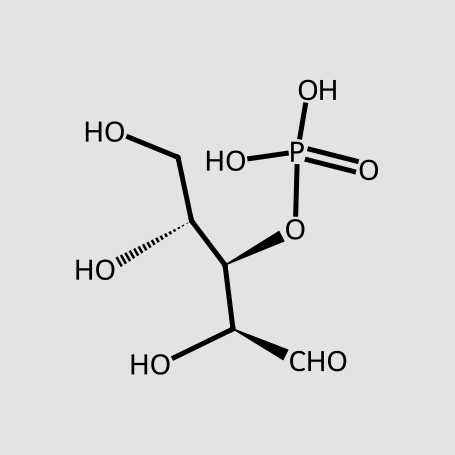 O=C[C@@H](O)[C@H](OP(=O)(O)O)[C@H](O)CO